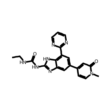 CCNC(=O)Nc1nc2cc(-c3ccn(C)c(=O)c3)cc(-c3ncccn3)c2[nH]1